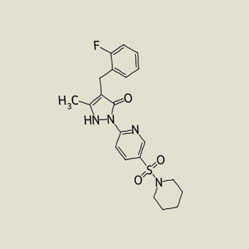 Cc1[nH]n(-c2ccc(S(=O)(=O)N3CCCCC3)cn2)c(=O)c1Cc1ccccc1F